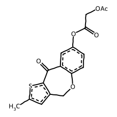 CC(=O)OCC(=O)Oc1ccc2c(c1)C(=O)c1sc(C)cc1CO2